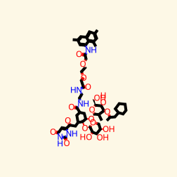 Cc1cc(C)c2c(NC(=O)COCCOCC(=O)NCCNC(=O)C3CC(CC(=O)c4cc(=O)[nH]c(=O)[nH]4)[C@H](O[C@@H]4OC[C@@H](O)[C@H](O)C4O)[C@H](O[C@@H]4O[C@@H](CO)[C@H](O)C(OC(C)CC5CCCCC5)C4C)C3)cc(C)cc2c1